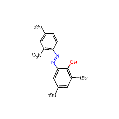 CCCCc1ccc(N=Nc2cc(C(C)(C)C)cc(C(C)(C)C)c2O)c([N+](=O)[O-])c1